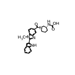 Cn1c(-c2cc3ccccc3[nH]2)nc2cc(C(=O)N3CCC[C@@H](NC(=O)O)C3)ccc21